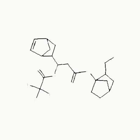 CCC1CC2CCC1(OC(=O)CC(OC(=O)C(F)(F)F)C1CC3C=CC1C3)C2